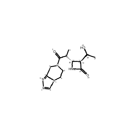 CC(C(=O)N1CCn2cnnc2C1)[C@H]1NC(=O)[C@@H]1C(C)O